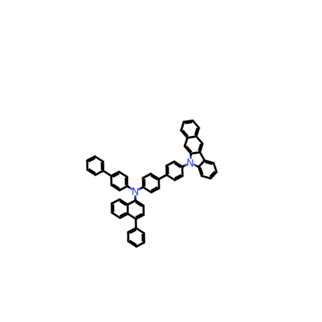 c1ccc(-c2ccc(N(c3ccc(-c4ccc(-n5c6ccccc6c6cc7ccccc7cc65)cc4)cc3)c3ccc(-c4ccccc4)c4ccccc34)cc2)cc1